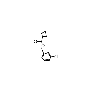 O=C(OCc1cccc(Cl)c1)C1CCC1